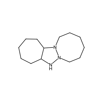 C1CCC2NN3CCCCCCN3C2CC1